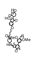 COc1cc(-c2cn(C)c(=O)c3cc(NC4CCN(C(=O)CCCCOc5ccc6c(c5)C(=O)N(C5CCC(=O)NC5=O)C6O)CC4)sc23)cc(OC)c1CN(C)C